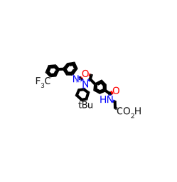 CC(C)(C)C1CCC(N2/C(=N/c3cccc(-c4cccc(C(F)(F)F)c4)c3)OCC2c2ccc(C(=O)NCCC(=O)O)cc2)CC1